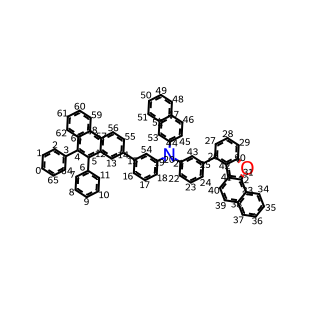 c1ccc(-c2c(-c3ccccc3)c3cc(-c4cccc(N(c5cccc(-c6cccc7oc8c9ccccc9ccc8c67)c5)c5ccc6ccccc6c5)c4)ccc3c3ccccc23)cc1